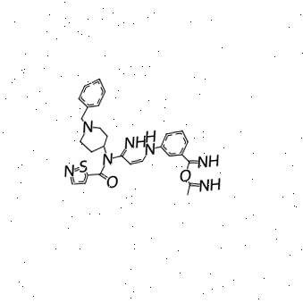 CC(=N)OC(=N)c1cccc(N/C=C\C(=N)N(C(=O)c2ccns2)C2CCN(Cc3ccccc3)CC2)c1